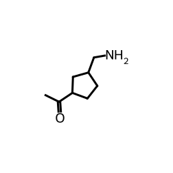 CC(=O)C1CCC(CN)C1